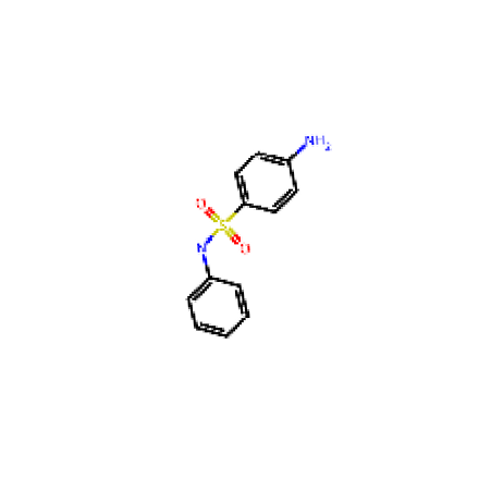 Nc1ccc(S(=O)(=O)[N]c2ccccc2)cc1